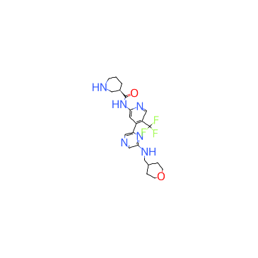 O=C(Nc1cc(-c2cncc(NCC3CCOCC3)n2)c(C(F)(F)F)cn1)[C@@H]1CCCNC1